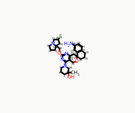 CC1(O)CCCN(c2nc(OCC34CCCN3CC(F)C4)nc3c2COC2(CCCc4ccc(N)cc42)C3)C1